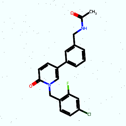 CC(=O)NCc1cccc(-c2ccc(=O)n(Cc3ccc(Cl)cc3F)c2)c1